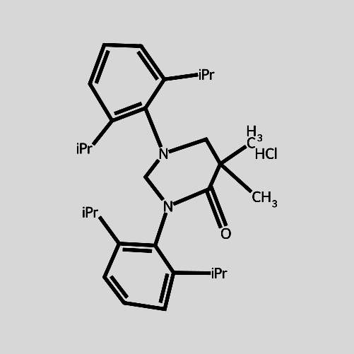 CC(C)c1cccc(C(C)C)c1N1CN(c2c(C(C)C)cccc2C(C)C)C(=O)C(C)(C)C1.Cl